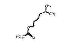 CN(C)CCCCOC(=O)C(=O)O